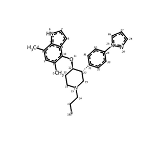 Cc1cc(C)c2[nH]ccc2c1O[C@@H]1CCN(CCF)C[C@H]1c1ccc(-n2cccn2)cc1